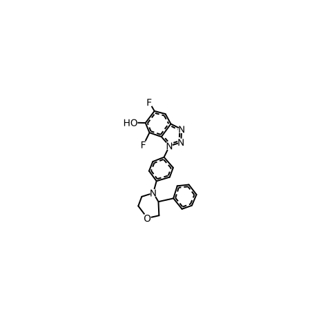 Oc1c(F)cc2nnn(-c3ccc(N4CCOCC4c4ccccc4)cc3)c2c1F